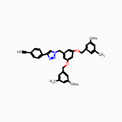 C#Cc1ccc(-c2cn(Cc3cc(OCc4cc(C)cc(OC)c4)cc(OCc4cc(C)cc(OC)c4)c3)nn2)cc1